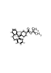 CC(C)OC(=O)N1CCC(=C2c3ccccc3CCc3cccnc32)CC1